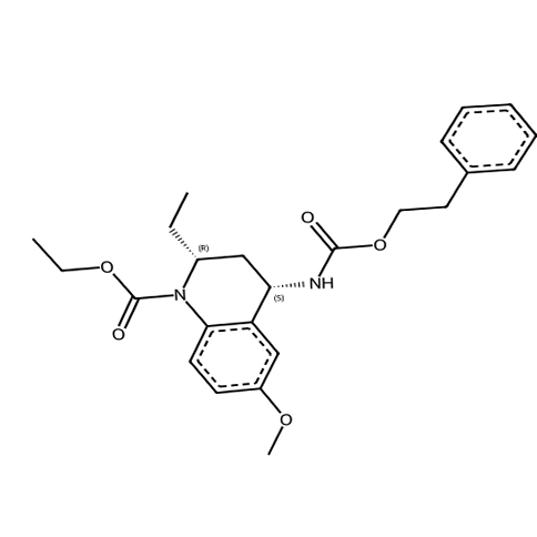 CCOC(=O)N1c2ccc(OC)cc2[C@@H](NC(=O)OCCc2ccccc2)C[C@H]1CC